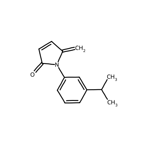 C=C1C=CC(=O)N1c1cccc(C(C)C)c1